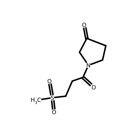 CS(=O)(=O)CCC(=O)N1CCC(=O)C1